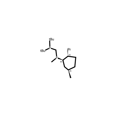 CC(C)[C@@H]1CC[C@@H](C)C[C@H]1P(C)CP(C(C)(C)C)C(C)(C)C